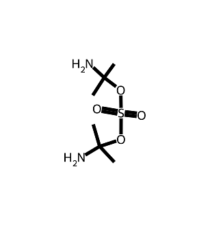 CC(C)(N)OS(=O)(=O)OC(C)(C)N